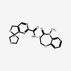 CN1C(=O)[C@@H](NC(=O)c2ncc3c(n2)[C@@]2(CCOC2)OC3)COc2ccccc21